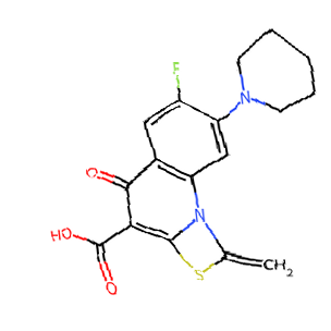 C=c1sc2c(C(=O)O)c(=O)c3cc(F)c(N4CCCCC4)cc3n12